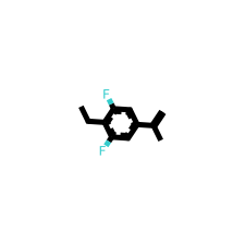 C=C(C)c1cc(F)c(CC)c(F)c1